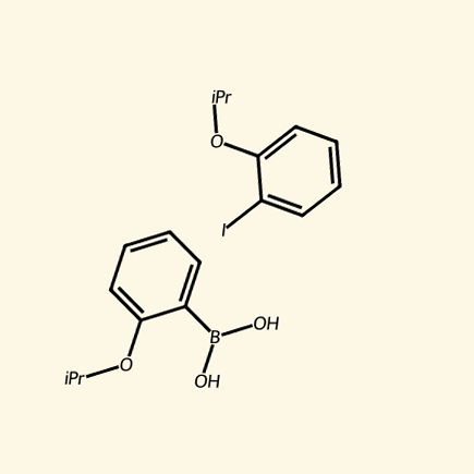 CC(C)Oc1ccccc1B(O)O.CC(C)Oc1ccccc1I